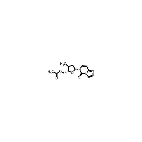 CC(=O)OC[C@H]1O[C@@H](n2ccc3nccn3c2=O)CC1C